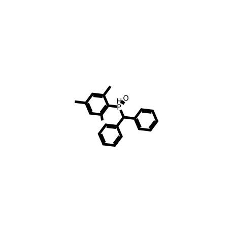 Cc1cc(C)c([PH](=O)C(c2ccccc2)c2ccccc2)c(C)c1